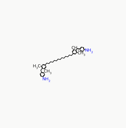 Cc1cc(CCCCCCCCCCCCCCc2cc(C)c(Cc3ccc(N)cc3)c(C)c2)cc(C)c1Cc1ccc(N)cc1